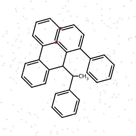 C[C](c1ccccc1)C(c1ccccc1-c1ccccc1)c1ccccc1-c1ccccc1